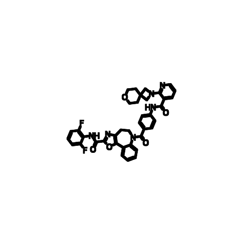 O=C(Nc1c(F)cccc1F)c1nc2c(o1)-c1ccccc1N(C(=O)c1ccc(NC(=O)c3cccnc3N3CC4(CCOCC4)C3)cc1)CC2